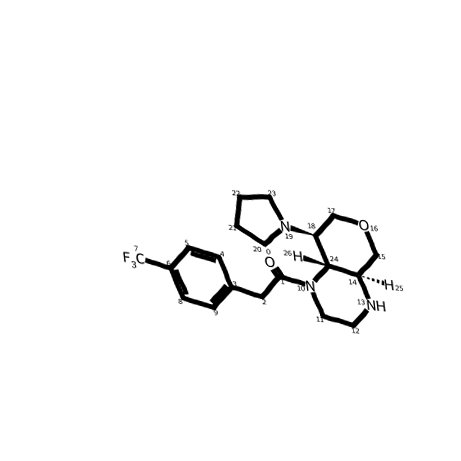 O=C(Cc1ccc(C(F)(F)F)cc1)N1CCN[C@@H]2COC[C@H](N3CCCC3)[C@H]21